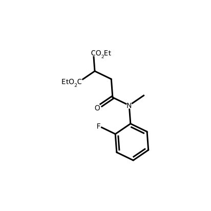 CCOC(=O)C(CC(=O)N(C)c1ccccc1F)C(=O)OCC